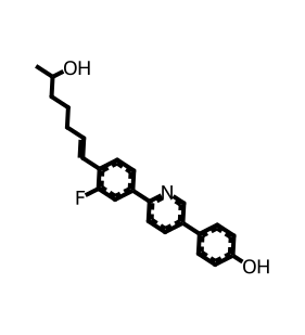 CC(O)CCCC=Cc1ccc(-c2ccc(-c3ccc(O)cc3)cn2)cc1F